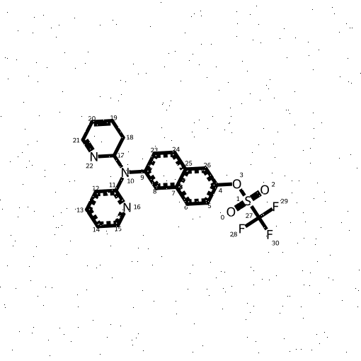 O=S(=O)(Oc1ccc2cc(N(c3ccccn3)C3CC=CC=N3)ccc2c1)C(F)(F)F